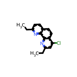 CCc1ccc2ccc3c(Cl)cc(CC)nc3c2n1